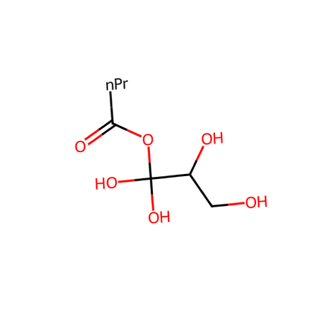 CCCC(=O)OC(O)(O)C(O)CO